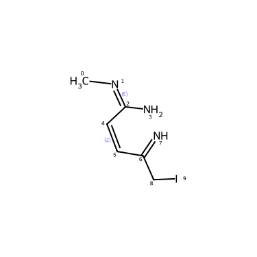 C/N=C(N)\C=C/C(=N)CI